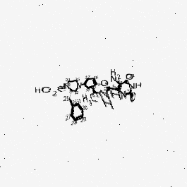 CC(NC(=O)c1[nH]c(=O)[nH]c(=O)c1N)c1cccc(N2CCN(C(=O)O)[C@@H](Cc3ccccc3)C2)c1